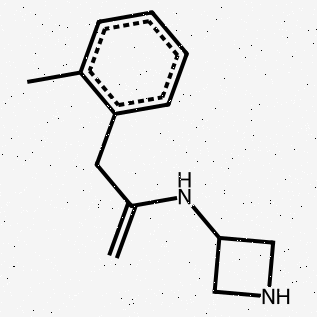 C=C(Cc1ccccc1C)NC1CNC1